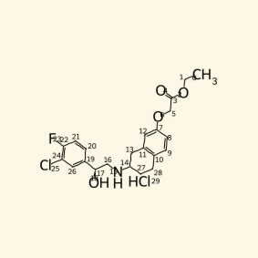 CCOC(=O)COc1ccc2c(c1)CC(NC[C@@H](O)c1ccc(F)c(Cl)c1)CC2.Cl